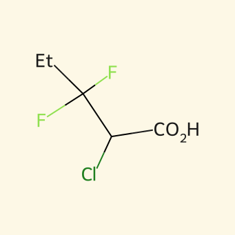 CCC(F)(F)C(Cl)C(=O)O